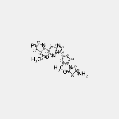 Cc1cc(-c2cnc3ccc(OC(C)c4cncc(F)c4)nn23)ccc1N1C[C@@H](N)CC1=O